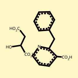 O=C(O)CC(O)C(=O)O.O=C(O)c1cccnc1Cc1ccccc1